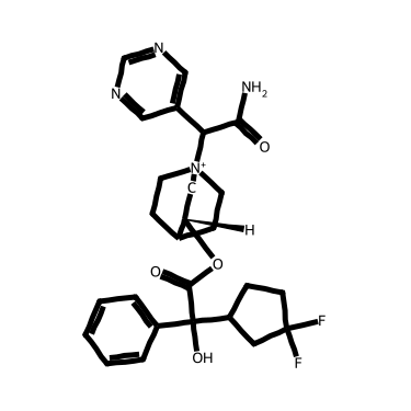 NC(=O)C(c1cncnc1)[N+]12CCC(CC1)[C@@H](OC(=O)C(O)(c1ccccc1)C1CCC(F)(F)C1)C2